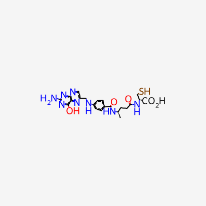 C[C@H](CCC(=O)N[C@@H](CS)C(=O)O)NC(=O)c1ccc(NCc2cnc3nc(N)nc(O)c3n2)cc1